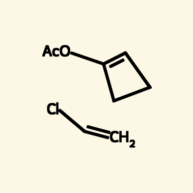 C=CCl.CC(=O)OC1=CCC1